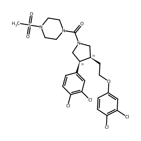 CS(=O)(=O)N1CCN(C(=O)N2C[C@@H](CCOc3ccc(Cl)c(Cl)c3)[C@@H](c3ccc(Cl)c(Cl)c3)C2)CC1